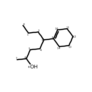 CCCC(CCC(C)O)C1=CCCCC1